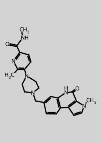 CNC(=O)c1ccc(N2CCN(Cc3ccc4c(c3)[nH]c(=O)c3c4ccn3C)CC2)c(C)n1